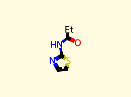 [CH2]CC(=O)Nc1nccs1